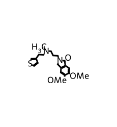 COc1cc2c(cc1OC)C(=O)N(CCCN(C)CCc1ccsc1)C2